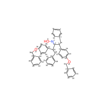 ON=C(C(Cc1ccccc1)c1ccc(OCc2ccccc2)cc1)C(Cc1ccccc1)c1ccc(OCc2ccccc2)cc1